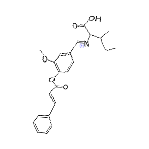 CCC(C)C(/N=C/c1ccc(OC(=O)C=Cc2ccccc2)c(OC)c1)C(=O)O